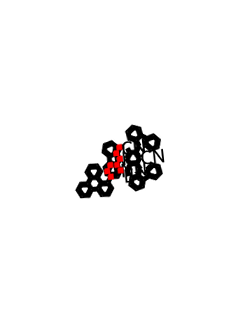 C/C=C\Cc1ccc(-c2cccc3c4ccccc4c4ccccc4c23)cc1N(CC)c1c(-n2c3ccccc3c3ccccc32)c(C#N)c(-n2c3ccccc3c3ccccc32)c(C#N)c1-n1c2ccccc2c2ccccc21